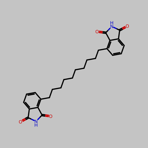 O=C1NC(=O)c2c(CCCCCCCCCCc3cccc4c3C(=O)NC4=O)cccc21